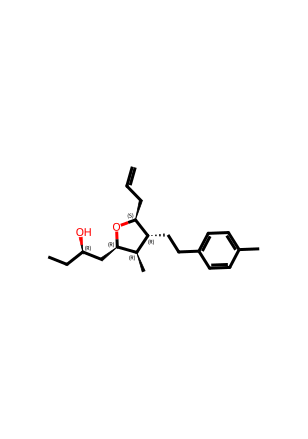 C=CC[C@@H]1O[C@H](C[C@H](O)CC)[C@H](C)[C@H]1CCc1ccc(C)cc1